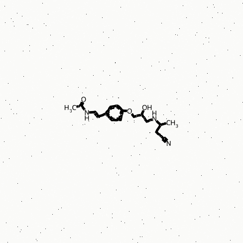 CC(=O)NC=Cc1ccc(OCC(O)CNC(C)CC#N)cc1